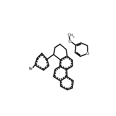 Brc1ccc(C2CCCc3ccc4c(ccc5ccccc54)c32)cc1.COC1=CCOC=C1